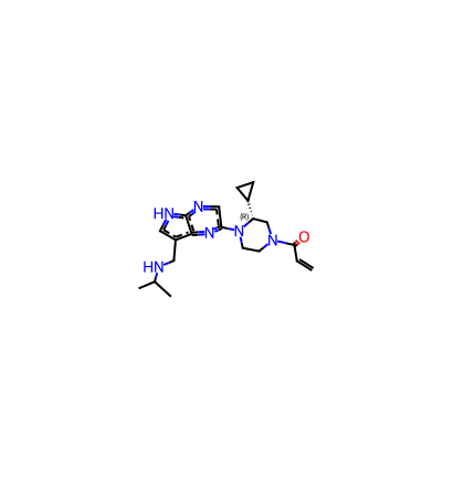 C=CC(=O)N1CCN(c2cnc3[nH]cc(CNC(C)C)c3n2)[C@H](C2CC2)C1